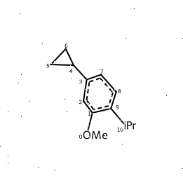 COc1cc(C2CC2)ccc1C(C)C